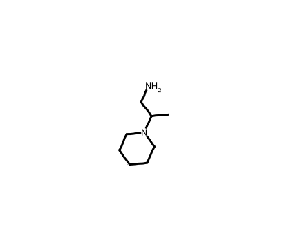 CC(CN)N1CC[CH]CC1